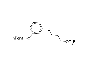 CCCCCOc1cccc(OCCCC(=O)OCC)c1